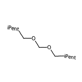 CCCC(C)COCOCC(C)CCC